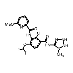 COc1cccc(C(=O)Nc2c(OC(F)F)ccc(C(=O)NC3=NNNN3C)c2Cl)n1